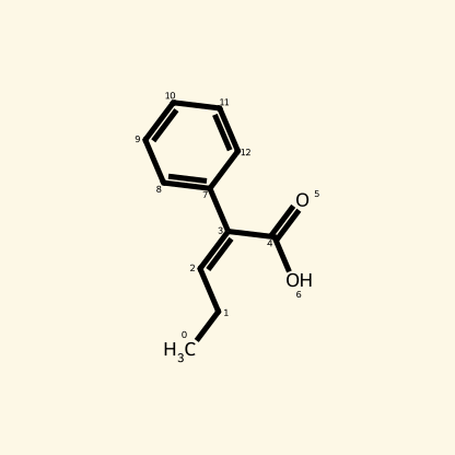 CCC=C(C(=O)O)c1ccccc1